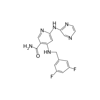 NC(=O)c1cnc(Nc2cnccn2)cc1NCc1cc(F)cc(F)c1